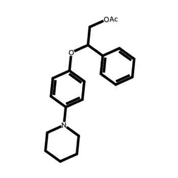 CC(=O)OCC(Oc1ccc(N2CCCCC2)cc1)c1ccccc1